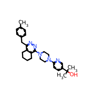 Cc1ccc(Cc2nnc(N3CCN(c4ccc(C(C)(C)O)cn4)CC3)c3c2CCCC3)cc1